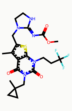 COC(=O)N=C1NCCN1Cc1sc2c(c1C)c(=O)n(CC1(C)CC1)c(=O)n2CCC(F)(F)F